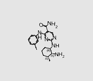 Cc1cccc(Nc2nc(N[C@@H]3CCC[C@H](C)[C@@H]3N)ncc2C(N)=O)c1